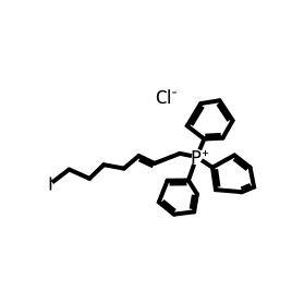 ICCCCC=CC[P+](c1ccccc1)(c1ccccc1)c1ccccc1.[Cl-]